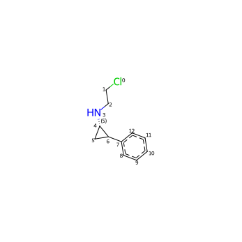 ClCCN[C@H]1CC1c1ccccc1